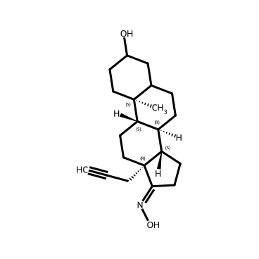 C#CC[C@]12CC[C@H]3[C@@H](CCC4CC(O)CC[C@@]43C)[C@@H]1CCC2=NO